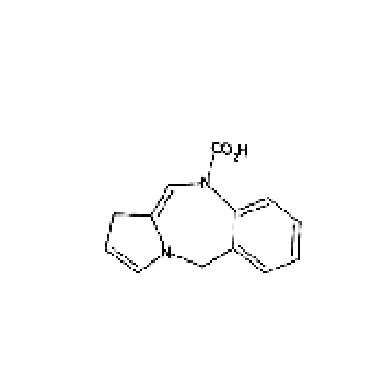 O=C(O)N1C=C2CC=CN2Cc2ccccc21